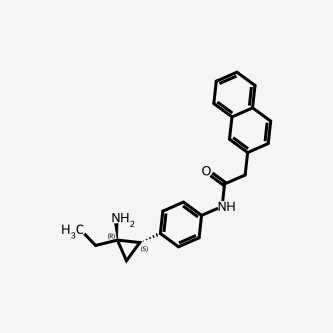 CC[C@@]1(N)C[C@H]1c1ccc(NC(=O)Cc2ccc3ccccc3c2)cc1